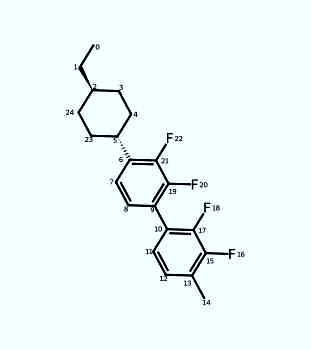 CC[C@H]1CC[C@H](c2ccc(-c3ccc(C)c(F)c3F)c(F)c2F)CC1